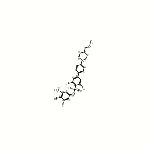 CCOCC1COC(c2ccc(-c3cc(F)c(C(F)(F)Oc4cc(C)c(F)c(F)c4)c(F)c3)cc2)OC1